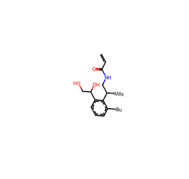 C=CC(=O)NCC(NC)c1c(C(C)CC)cccc1C(O)CO